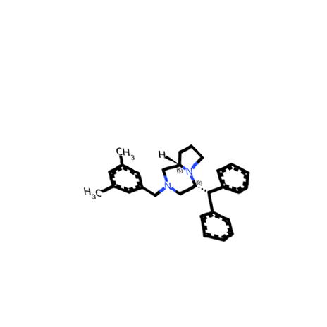 Cc1cc(C)cc(CN2C[C@@H]3CCCN3[C@H](C(c3ccccc3)c3ccccc3)C2)c1